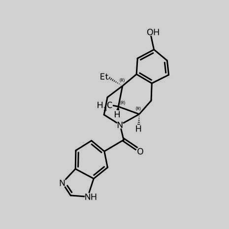 CC[C@]12CCN(C(=O)c3ccc4nc[nH]c4c3)[C@H](Cc3ccc(O)cc31)[C@@H]2C